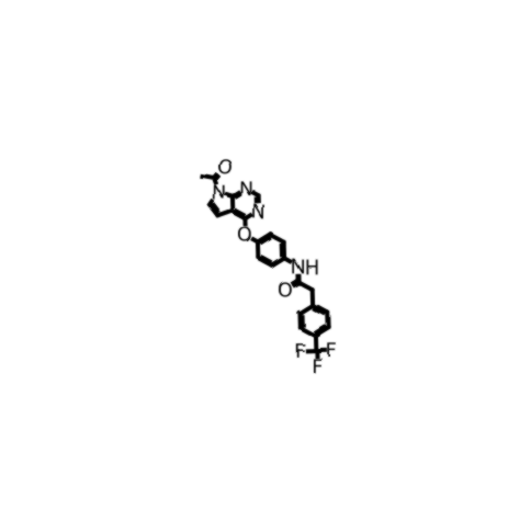 CC(=O)n1ccc2c(Oc3ccc(NC(=O)Cc4ccc(C(F)(F)F)cc4)cc3)ncnc21